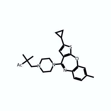 CC(=O)C(C)(C)CN1CCN(C2=Nc3ccc(C)cc3Oc3sc(C4CC4)cc32)CC1